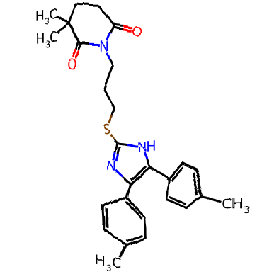 Cc1ccc(-c2nc(SCCCN3C(=O)CCC(C)(C)C3=O)[nH]c2-c2ccc(C)cc2)cc1